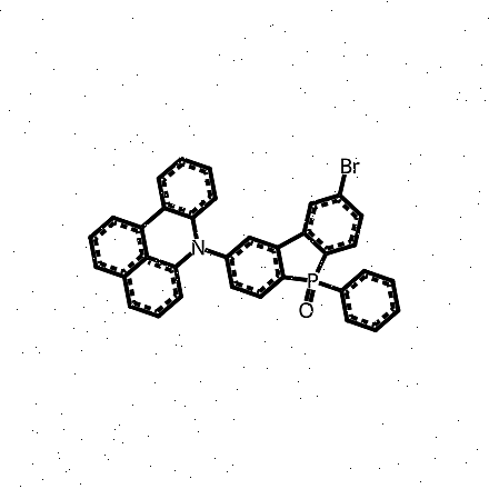 O=P1(c2ccccc2)c2ccc(Br)cc2-c2cc(N3c4ccccc4-c4cccc5cccc3c45)ccc21